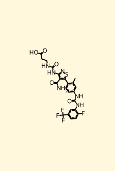 Cc1cc(NC(=O)Nc2cc(C(F)(F)F)ccc2F)ccc1-c1snc(NC(=O)NCCC(=O)O)c1C(N)=O